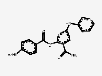 CC(=O)Nc1ccc(C(=O)Nc2sc(Nc3cccnc3)nc2C(N)=O)cc1